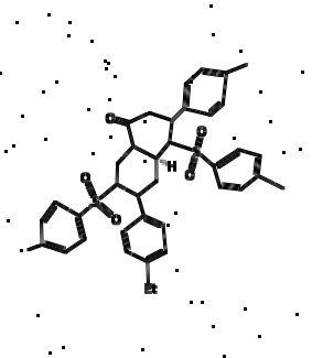 CCc1ccc(C2C[C@H]3C(CC2S(=O)(=O)c2ccc(C)cc2)C(=O)CC(c2ccc(C)cc2)C3S(=O)(=O)c2ccc(C)cc2)cc1